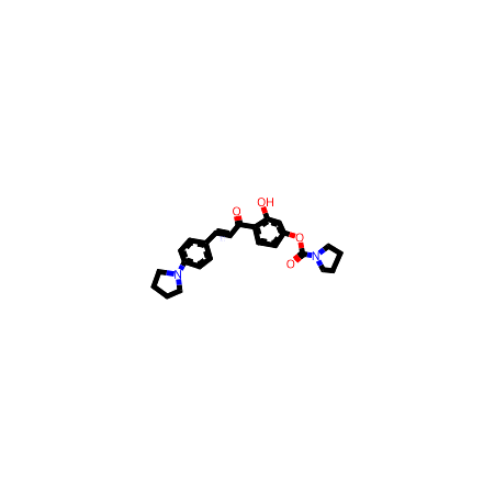 O=C(/C=C/c1ccc(N2CCCC2)cc1)c1ccc(OC(=O)N2CCCC2)cc1O